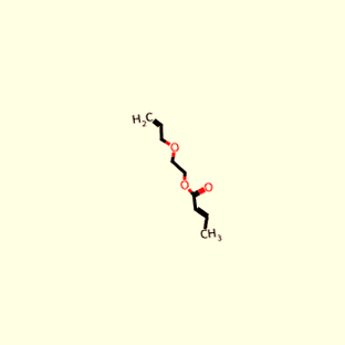 C=CCOCCOC(=O)C=CC